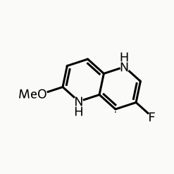 COC1=CC=C2NC=C(F)[C]=C2N1